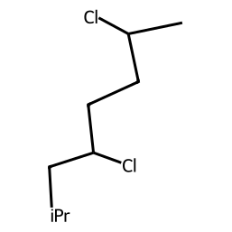 CC(C)CC(Cl)CCC(C)Cl